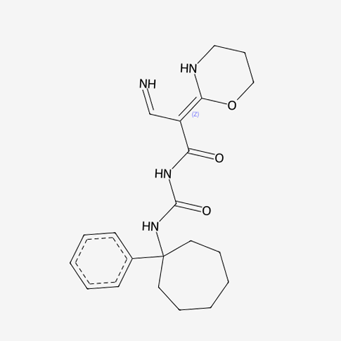 N=C/C(C(=O)NC(=O)NC1(c2ccccc2)CCCCCC1)=C1\NCCCO1